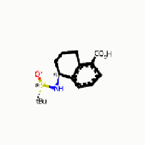 CC(C)(C)[S@+]([O-])N[C@H]1CCCc2c(C(=O)O)cccc21